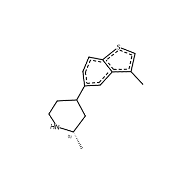 Cc1csc2ccc(C3CCN[C@@H](C)C3)cc12